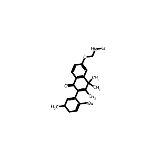 CCCCC1=CCC(C)C=C1C1=C(C)C(C)(C)c2cc(OCNCC)ccc2C1=O